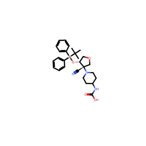 CC(C)(C)[Si](O[C@@H]1COC[C@]1(C#N)N1CCC(NC(=O)O)CC1)(c1ccccc1)c1ccccc1